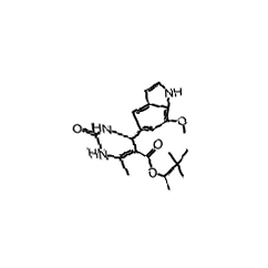 COc1cc(C2NC(=O)NC(C)=C2C(=O)OC(C)C(C)(C)C)cc2cc[nH]c12